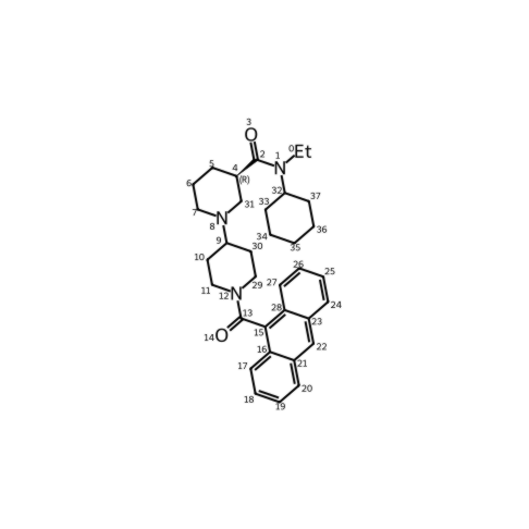 CCN(C(=O)[C@@H]1CCCN(C2CCN(C(=O)c3c4ccccc4cc4ccccc34)CC2)C1)C1CCCCC1